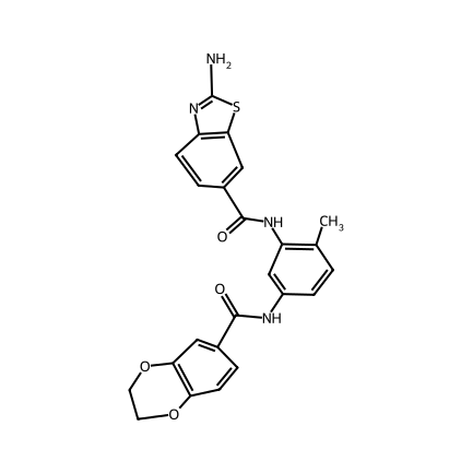 Cc1ccc(NC(=O)c2ccc3c(c2)OCCO3)cc1NC(=O)c1ccc2nc(N)sc2c1